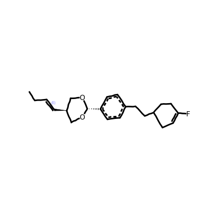 CC/C=C/[C@H]1CO[C@H](c2ccc(CCC3CC=C(F)CC3)cc2)OC1